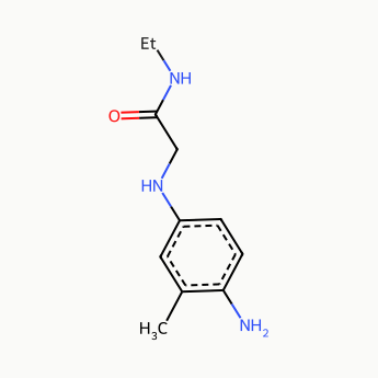 CCNC(=O)CNc1ccc(N)c(C)c1